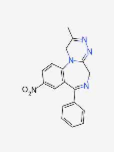 CC1=NN=C2CN=C(c3ccccc3)c3cc([N+](=O)[O-])ccc3N2C1